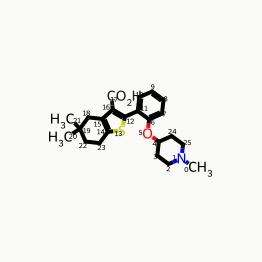 CN1CCC(Oc2ccccc2-c2sc3c(c2C(=O)O)CC(C)(C)CC3)CC1